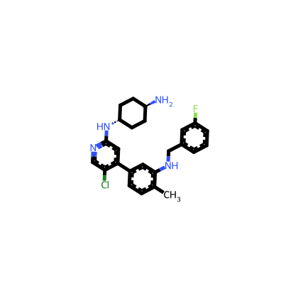 Cc1ccc(-c2cc(N[C@H]3CC[C@H](N)CC3)ncc2Cl)cc1NCc1cccc(F)c1